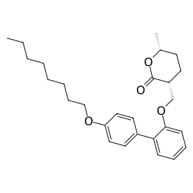 CCCCCCCCOc1ccc(-c2ccccc2OC[C@H]2CC[C@@H](C)OC2=O)cc1